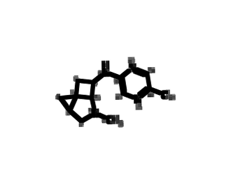 CN1CC2CC23CC(Nc2cnc(Cl)cn2)C13